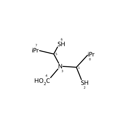 CC(C)C(S)N(C(=O)O)C(S)C(C)C